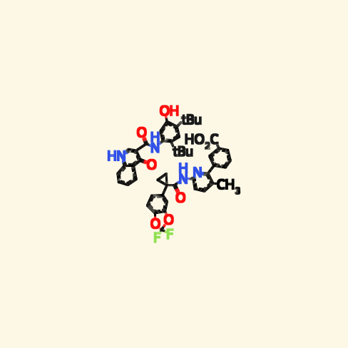 CC(C)(C)c1cc(C(C)(C)C)c(NC(=O)c2c[nH]c3ccccc3c2=O)cc1O.Cc1ccc(NC(=O)C2(c3ccc4c(c3)OC(F)(F)O4)CC2)nc1-c1cccc(C(=O)O)c1